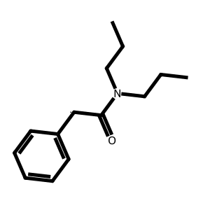 CCCN(CCC)C(=O)[CH]c1ccccc1